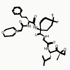 CC(C)C[C@H](NC(=O)CNC(=O)C1(NC(=O)[C@H](CCc2ccccc2)NC(=O)CN2CCOCC2)CCC(F)(F)CC1)C(=O)[C@@]1(C)CO1